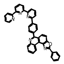 c1ccc(-c2nc3c(ccc4c(-c5ccc(-c6cccc(-c7cccc(-c8ccccn8)n7)n6)cc5)nc5ccccc5c43)o2)cc1